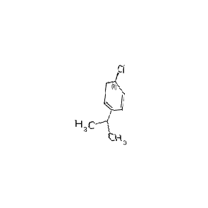 CC(C)C1=CC[C@@H](Cl)C=C1